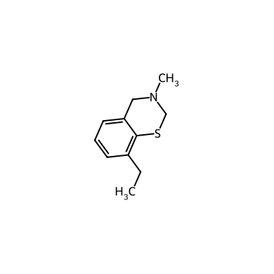 CCc1cccc2c1SCN(C)C2